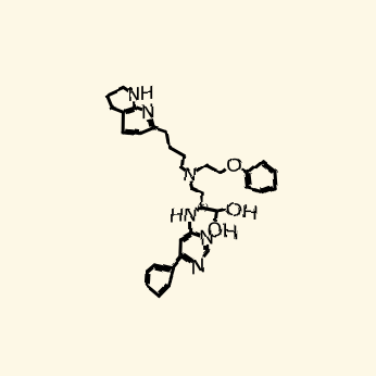 OC(O)[C@H](CCN(CCCCc1ccc2c(n1)NCCC2)CCOc1ccccc1)Nc1cc(-c2ccccc2)ncn1